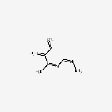 C=CC(=C)/C(N)=N\C=N/N